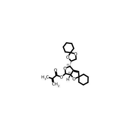 C=C(C)C(=O)OC1O[C@H](C2COC3(CCCCC3)O2)C2=CC3(CCCCC3)O[C@@H]21